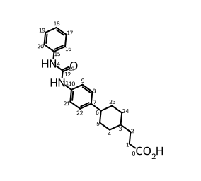 O=C(O)CCC1CCC(c2ccc(NC(=O)Nc3ccccc3)cc2)CC1